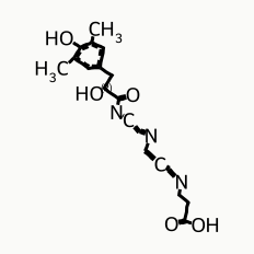 Cc1cc(C[C@@H](O)C(=O)N=C=C=NC=C=C=NCCC(=O)O)cc(C)c1O